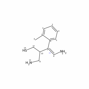 Cc1ccccc1/C(=C\N)C(CN)CS